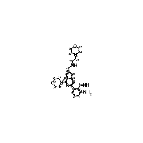 N=Cc1c(N)cccc1-c1nc(N2CCOCC2)c2sc(CNCCN3CCOCC3)cc2n1